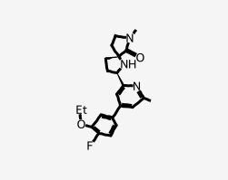 CCOc1cc(-c2cc(C)nc([C@H]3CC[C@]4(CCN(C)C4=O)N3)c2)ccc1F